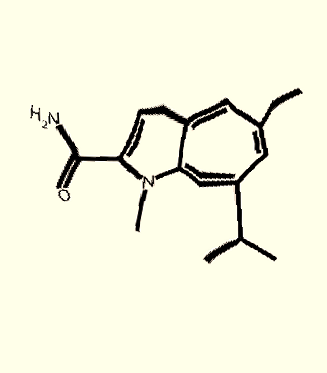 Cc1cc(C(C)C)c2c(c1)cc(C(N)=O)n2C